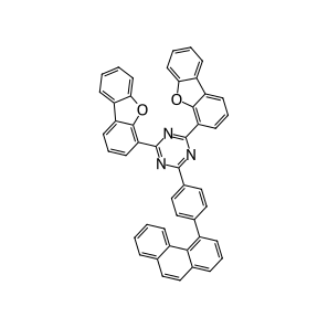 c1ccc2c(c1)ccc1cccc(-c3ccc(-c4nc(-c5cccc6c5oc5ccccc56)nc(-c5cccc6c5oc5ccccc56)n4)cc3)c12